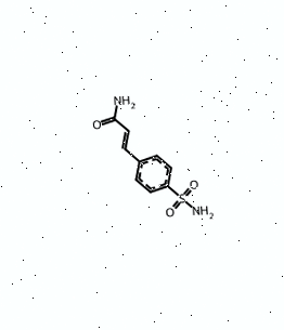 NC(=O)C=Cc1ccc(S(N)(=O)=O)cc1